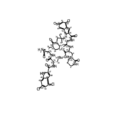 COC(=O)[C@H](C[C@@H]1CCCNC1=O)NC(=O)[C@H](CC(C)(C)CN1CCC[C@@H](C[C@H](NC(=O)[C@H](CC(C)(C)C)NC(=O)c2cc3c(Cl)cc(Cl)cc3[nH]2)C(N)=O)C1=O)NC(=O)c1cc2c(Cl)cc(Cl)cc2[nH]1